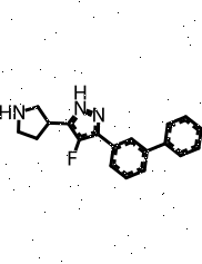 Fc1c(-c2cccc(-c3ccccc3)c2)n[nH]c1C1CCNC1